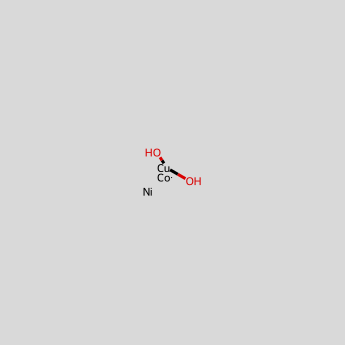 [Co].[Ni].[OH][Cu][OH]